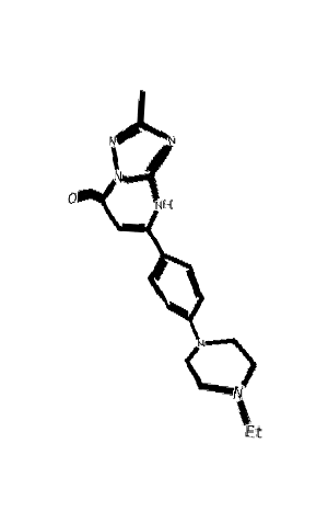 CCN1CCN(c2ccc(-c3cc(=O)n4nc(C)nc4[nH]3)cc2)CC1